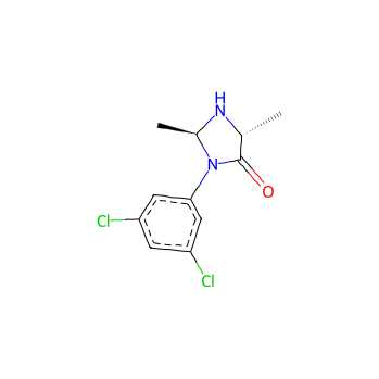 C[C@H]1N[C@H](C)N(c2cc(Cl)cc(Cl)c2)C1=O